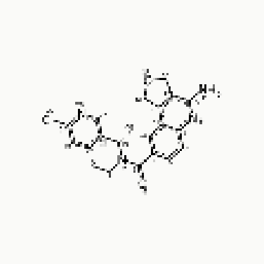 CCN(C(=O)c1ccc2nc(N)c3c(c2c1)COC3)[C@@H](C)c1ccc(Cl)nc1